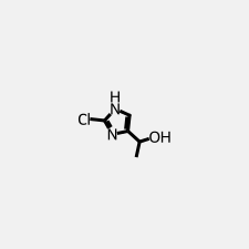 CC(O)c1c[nH]c(Cl)n1